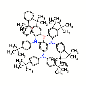 CC(C)(C)c1ccc(N(c2ccc(C(C)(C)C)cc2)c2cc3c4c(c2)N(c2ccc(C(C)(C)C)cc2-c2ccccc2)c2cc5c(cc2B4c2cc4c(cc2N3c2ccc3c(c2)C(C)(C)CC3(C)C)C(C)(C)CC4(C)C)C(C)(C)c2ccccc2C5(C)C)cc1